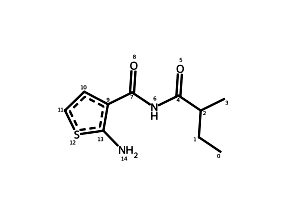 CCC(C)C(=O)NC(=O)c1ccsc1N